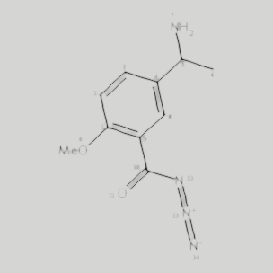 COc1ccc(C(C)N)cc1C(=O)N=[N+]=[N-]